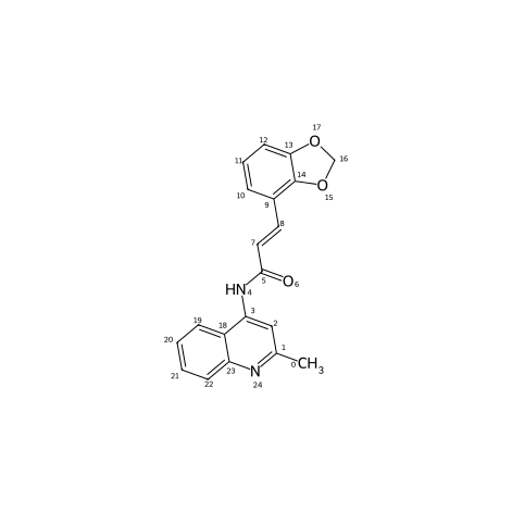 Cc1cc(NC(=O)C=Cc2cccc3c2OCO3)c2ccccc2n1